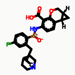 O=C(O)c1c(N[S+]([O-])c2ccc(F)cc2CC2CN3CCC2CC3)ccc2c1OC[C@@H]1C[C@H]21